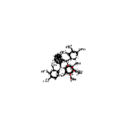 CCCCc1ccc(P(c2ccc(CCCC)c(CCCC)c2CCCC)[C]23[CH]4[CH]5[CH]6[C]2(P(c2ccc(CCCC)c(CCCC)c2CCCC)c2ccc(CCCC)c(CCCC)c2CCCC)[Fe]54632789[CH]3[CH]2[CH]7[CH]8[CH]39)c(CCCC)c1CCCC